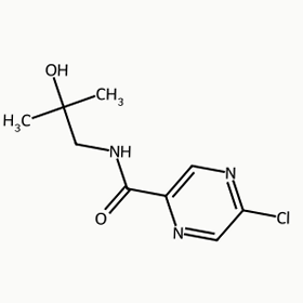 CC(C)(O)CNC(=O)c1cnc(Cl)cn1